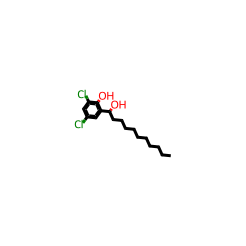 CCCCCCCCCCC(O)c1cc(Cl)cc(Cl)c1O